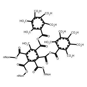 CCCCCCCCCOC(=O)c1c(C(=O)O)c(C(=O)OC(=O)c2c(C(=O)O)c(C(=O)O)c(C(=O)O)c(C(=O)O)c2C(=O)O)c(C(=O)OC(=O)c2c(C(=O)O)c(C(=O)O)c(C(=O)O)c(C(=O)O)c2C(=O)O)c(C(=O)OCCCCCCCCC)c1C(=O)OCCCCCCCCC